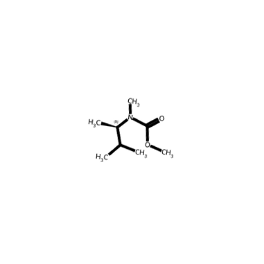 COC(=O)N(C)[C@H](C)C(C)C